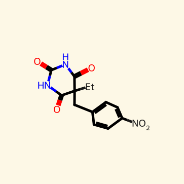 CCC1(Cc2ccc([N+](=O)[O-])cc2)C(=O)NC(=O)NC1=O